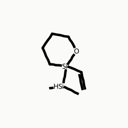 C=C[Si]1([SiH](C)C)CCCCO1